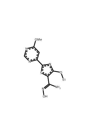 CCOc1nc(-c2cc(OC)ncn2)sc1/C(N)=N/O